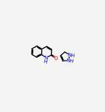 C1=CNNC1.O=c1ccc2ccccc2[nH]1